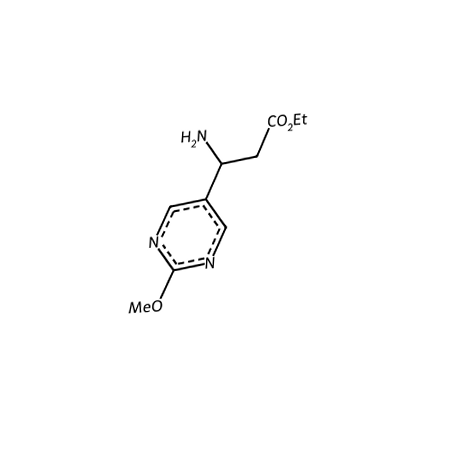 CCOC(=O)CC(N)c1cnc(OC)nc1